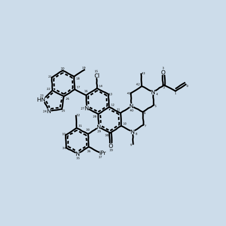 C=CC(=O)N1CC2CN(C)c3c(c4cc(Cl)c(-c5c(C)ccc6[nH]ncc56)nc4n(-c4c(C)ccnc4C(C)C)c3=O)N2CC1C